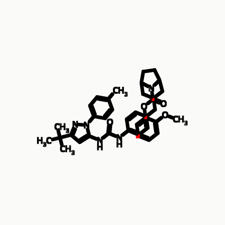 COc1ccccc1OC(=O)N1C2CCC1CC(Cc1ccc(NC(=O)Nc3cc(C(C)(C)C)nn3-c3ccc(C)cc3)cc1)C2